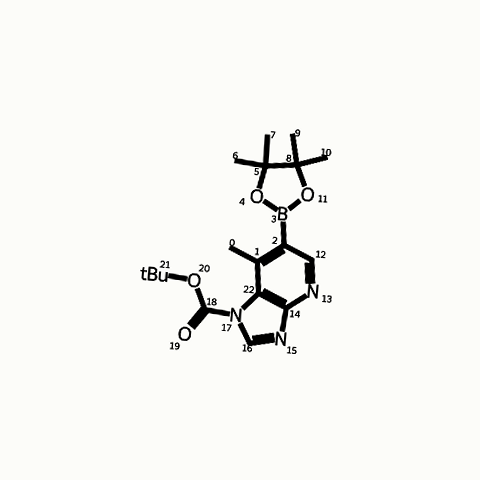 Cc1c(B2OC(C)(C)C(C)(C)O2)cnc2ncn(C(=O)OC(C)(C)C)c12